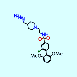 COc1cccc(OC)c1-c1ccc(S(=O)(=O)NCCN2CCC(CN=[N+]=[N-])CC2)cc1F